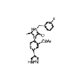 COc1cc(-c2cn[nH]c2)ccc1-n1c(C)nn(Cc2cccc(F)c2)c1=O